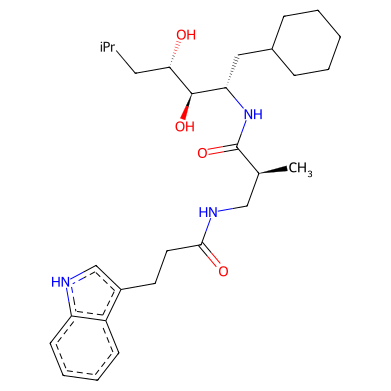 CC(C)C[C@H](O)[C@H](O)[C@H](CC1CCCCC1)NC(=O)[C@@H](C)CNC(=O)CCc1c[nH]c2ccccc12